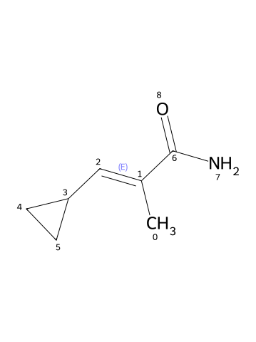 C/C(=C\C1CC1)C(N)=O